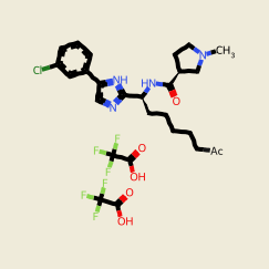 CC(=O)CCCCC[C@H](NC(=O)[C@H]1CCN(C)C1)c1ncc(-c2cccc(Cl)c2)[nH]1.O=C(O)C(F)(F)F.O=C(O)C(F)(F)F